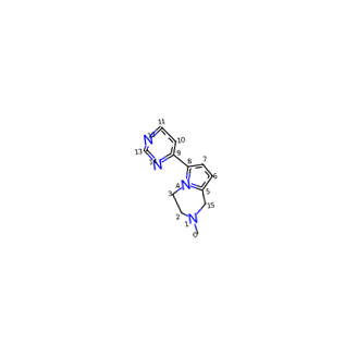 CN1CCn2c(ccc2-c2ccncn2)C1